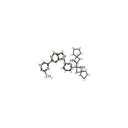 Cc1cncc(-c2cc3c(cn2)cnn3-c2cccc(C3(C4CC5(CCCC5)N4)CC4(CCCC4)N3)n2)n1